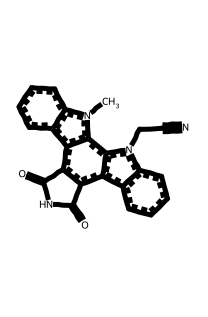 Cn1c2ccccc2c2c3c(c4c5ccccc5n(CC#N)c4c21)C(=O)NC3=O